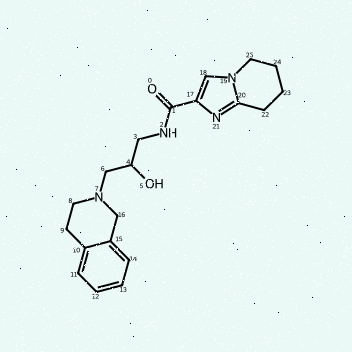 O=C(NCC(O)CN1CCc2ccccc2C1)c1cn2c(n1)CCCC2